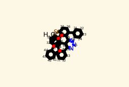 Cc1cc2c(c(-c3c(-c4ccccc4)nnnc3-c3c(-c4ccccc4)ccc4sc5ccccc5c34)c1C)Cc1ccccc1-2